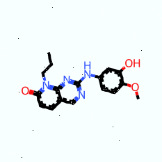 CCCn1c(=O)ccc2cnc(Nc3ccc(OC)c(O)c3)nc21